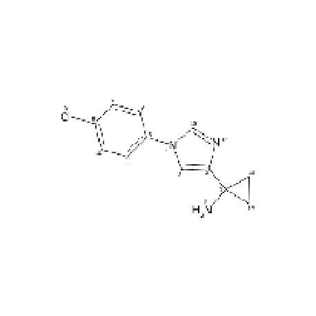 NC1(c2cn(-c3ccc(Cl)cc3)cn2)CC1